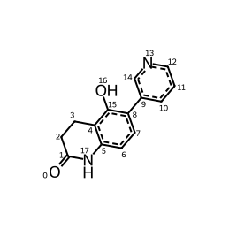 O=C1CCc2c(ccc(-c3cccnc3)c2O)N1